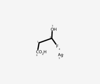 O=C(O)CC(O)F.[Ag]